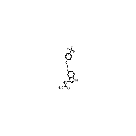 CC(=O)Nc1c[nH]c2ccc(CCSc3ccc(C(F)(F)F)cc3)cc12